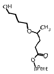 CCCCCOC(=O)CCC(C)OCCCCO